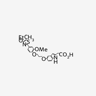 CCOc1nc(-c2ccc(OCCCOc3ccc4[nH]c(CC(=O)O)cc4c3)c(OC)c2)sc1C